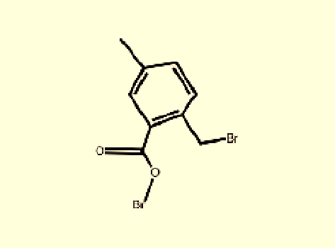 Cc1ccc(CBr)c(C(=O)OBr)c1